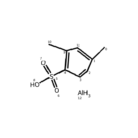 Cc1ccc(S(=O)(=O)O)c(C)c1.[AlH3]